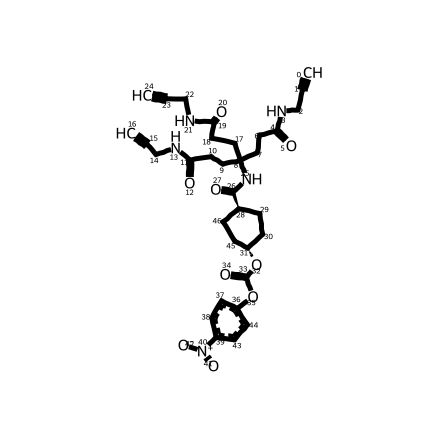 C#CCNC(=O)CCC(CCC(=O)NCC#C)(CCC(=O)NCC#C)NC(=O)[C@H]1CC[C@H](OC(=O)Oc2ccc([N+](=O)[O-])cc2)CC1